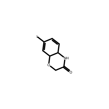 O=C1COC2C=C(I)C=CC2N1